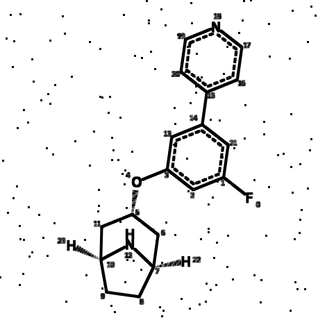 Fc1cc(O[C@@H]2C[C@H]3CC[C@@H](C2)N3)cc(-c2ccncc2)c1